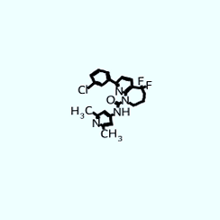 Cc1cc(NC(=O)N2CCCC(F)(F)c3ccc(-c4cccc(Cl)c4)nc32)cc(C)n1